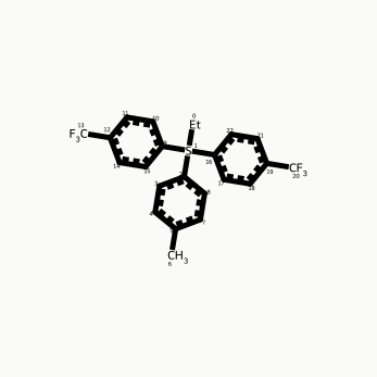 CCS(c1ccc(C)cc1)(c1ccc(C(F)(F)F)cc1)c1ccc(C(F)(F)F)cc1